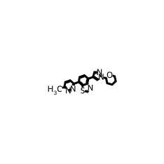 Cc1ccc(-c2ccc(-c3cnn(C4CCCCO4)c3)c3ncsc23)nn1